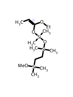 C/C=C(/OCC)O[Si](C)(C)O[Si](C)(C)CC[Si](C)(C)OC